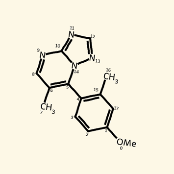 COc1ccc(-c2c(C)cnc3ncnn23)c(C)c1